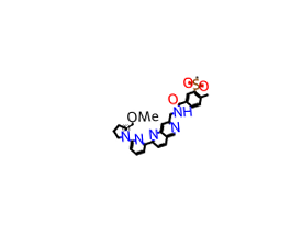 COC[C@@H]1CCCN1c1cccc(-c2ccc3cnc(CNC(=O)c4ccc(C)c(S(C)(=O)=O)c4)cc3n2)n1